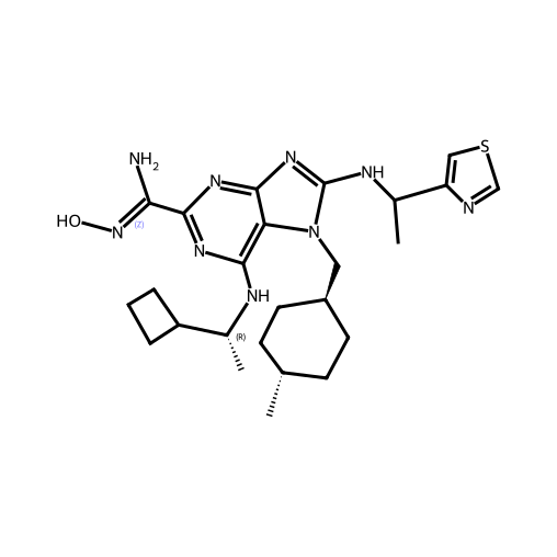 CC(Nc1nc2nc(/C(N)=N/O)nc(N[C@H](C)C3CCC3)c2n1C[C@H]1CC[C@H](C)CC1)c1cscn1